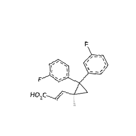 C[C@@]1(/C=C/C(=O)O)CC1(c1cccc(F)c1)c1cccc(F)c1